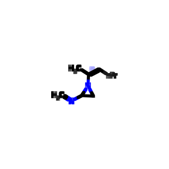 C=NC1CN1/C(C)=C\CCC